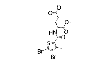 COC(=O)CC[C@H](NC(=O)c1sc(Br)c(Br)c1C)C(=O)OC